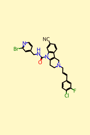 N#Cc1ccc2c3c(n(C(=O)NCc4ccnc(Br)c4)c2c1)CCN(C/C=C/c1ccc(Cl)c(F)c1)C3